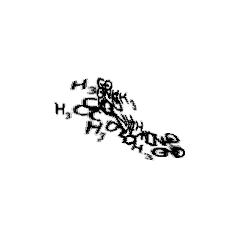 COc1c(NC(=O)c2cc3cccc(CN4CCN(C(=O)[C@@H]5CCCN5C)CC4)c3n2C)cc(C(C)(C)C)cc1NS(C)(=O)=O